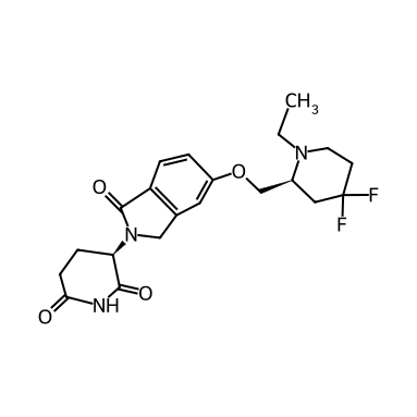 CCN1CCC(F)(F)C[C@H]1COc1ccc2c(c1)CN([C@@H]1CCC(=O)NC1=O)C2=O